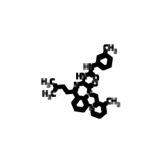 Cc1cccc(NC(=O)N[C@@H]2N=C(CCC(C)C)c3ccccc3N(Cc3ncccc3C)C2=O)c1